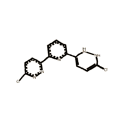 ClC1=CC=C(c2cccc(-c3ccc(Cl)nn3)n2)NN1